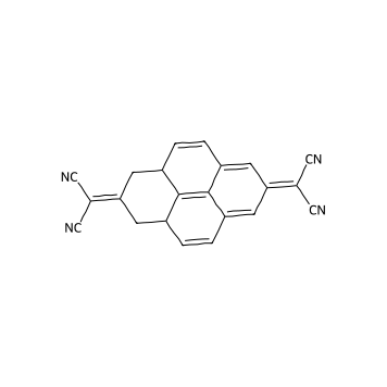 N#CC(C#N)=C1CC2C=Cc3cc(=C(C#N)C#N)cc4c3=C2C(C=C4)C1